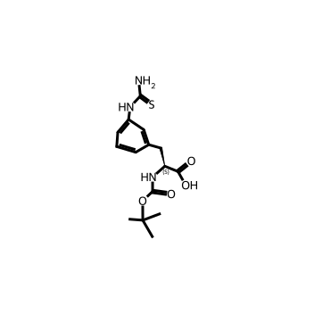 CC(C)(C)OC(=O)N[C@@H](Cc1cccc(NC(N)=S)c1)C(=O)O